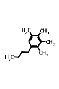 [CH2]CCCc1cc(C)c(C)c(C)c1C